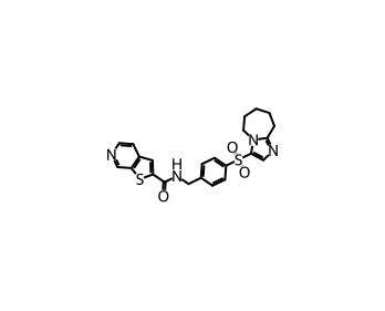 O=C(NCc1ccc(S(=O)(=O)c2cnc3n2CCCCC3)cc1)c1cc2ccncc2s1